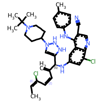 C=C(/C=C\C(Cl)=C/C)[C@H](Nc1cc(Cl)c2ncc(C#N)c(Nc3ccc(C)cc3)c2c1)C1=CN(C2CCN(C(C)(C)C)CC2)NN1